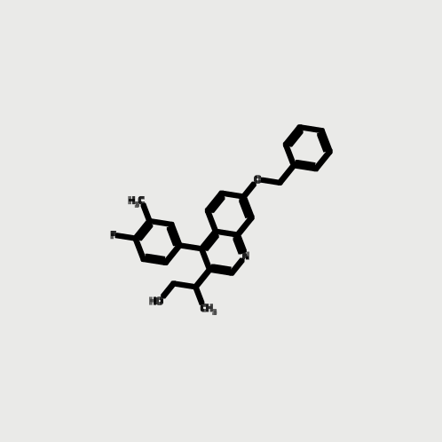 Cc1cc(-c2c(C(C)CO)cnc3cc(OCc4ccccc4)ccc23)ccc1F